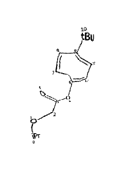 CC(C)OCC(=O)Oc1ccc(C(C)(C)C)cc1